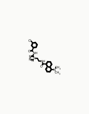 CN(C)c1cccc2c(C(=O)NCCn3nnnc3NC(=O)c3cccc(Cl)c3)cccc12